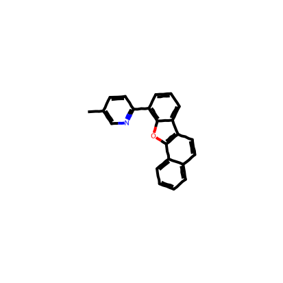 Cc1ccc(-c2cccc3c2oc2c4ccccc4ccc32)nc1